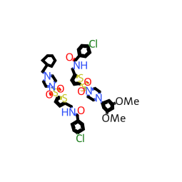 COc1cc(OC)cc(N2CCN(S(=O)(=O)c3ccc(CNC(=O)c4ccc(Cl)cc4)s3)CC2)c1.O=C(NCc1ccc(S(=O)(=O)N2CCN(CC3CCCCC3)CC2)s1)c1ccc(Cl)cc1